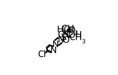 CCC(CC)(P(=O)(O)O)S(=O)(=O)N1CCN(c2ccc(Cl)cn2)CC1